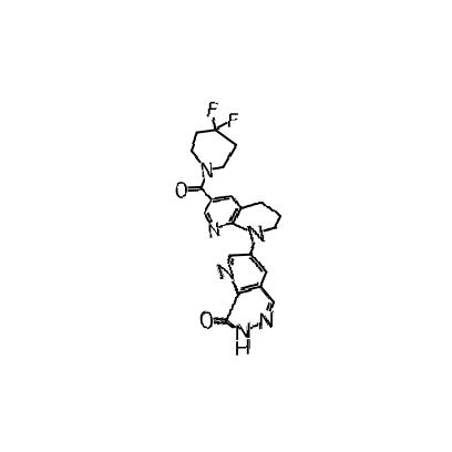 O=C(c1cnc2c(c1)CCCN2c1cnc2c(=O)[nH]ncc2c1)N1CCC(F)(F)CC1